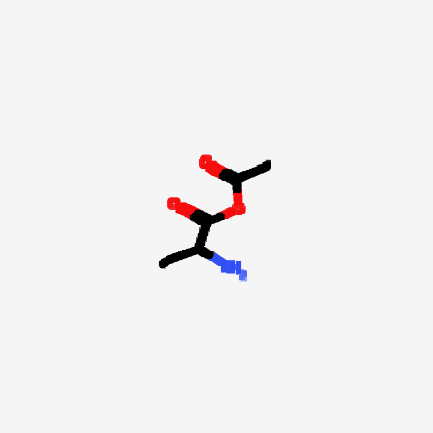 CC(=O)OC(=O)C(C)N